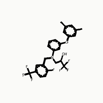 Cc1cc(C)cc(Oc2cccc(N(Cc3cc(C(F)(F)F)ccc3F)CC(O)C(F)(F)F)c2)c1